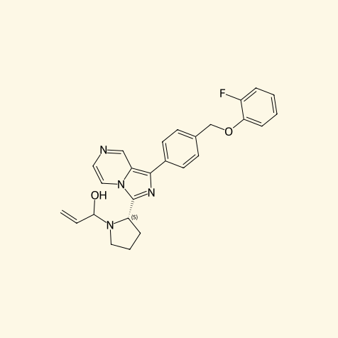 C=CC(O)N1CCC[C@H]1c1nc(-c2ccc(COc3ccccc3F)cc2)c2cnccn12